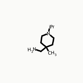 CC(C)N1CCC(C)(CN)CC1